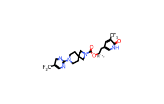 C[C@@H](Cc1c[nH]c(=O)c(C(F)(F)F)c1)OC(=O)N1CC2(CCN(c3ncc(C(F)(F)F)cn3)CC2)C1